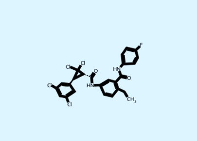 CCc1ccc(NC(=O)[C@@H]2[C@@H](c3cc(Cl)cc(Cl)c3)C2(Cl)Cl)cc1C(=O)Nc1ccc(F)cc1